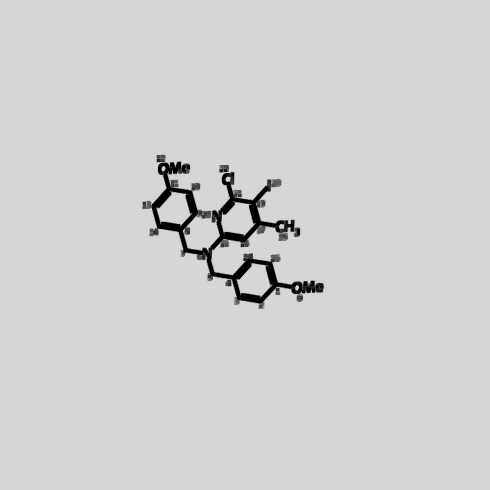 COc1ccc(CN(Cc2ccc(OC)cc2)c2cc(C)c(I)c(Cl)n2)cc1